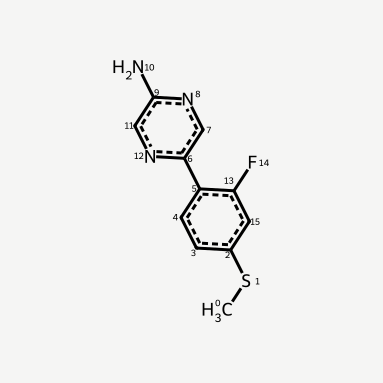 CSc1ccc(-c2cnc(N)cn2)c(F)c1